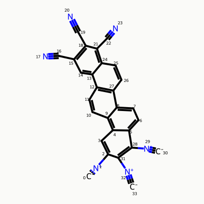 [C-]#[N+]c1cc2c(ccc3c2ccc2c4cc(C#N)c(C#N)c(C#N)c4ccc23)c([N+]#[C-])c1[N+]#[C-]